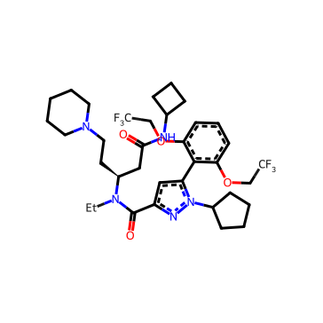 CCN(C(=O)c1cc(-c2c(OCC(F)(F)F)cccc2OCC(F)(F)F)n(C2CCCC2)n1)[C@@H](CCN1CCCCC1)CC(=O)NC1CCC1